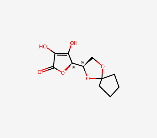 O=C1O[C@H]([C@H]2COC3(CCCC3)O2)C(O)=C1O